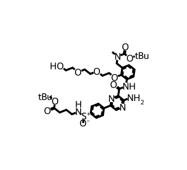 CN(Cc1cccc(NC(=O)c2nc(-c3ccc([S+]([O-])NCCCC(=O)OC(C)(C)C)cc3)cnc2N)c1OCCOCCOCCO)C(=O)OC(C)(C)C